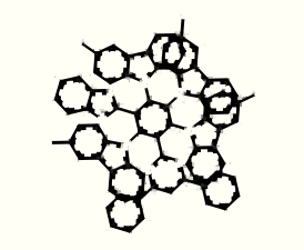 Cc1ccc2c(c1)c1ccccc1n2-c1c(-c2nc(-c3ccccc3)cc(-c3ccccc3)n2)c(-n2c3ccccc3c3cc(C)ccc32)c(-n2c3ccccc3c3cc(C)ccc32)c(-n2c3ccccc3c3cc(C)ccc32)c1-c1nc2ccccc2s1